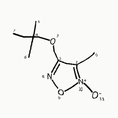 Cc1c(OC(C)(C)C)no[n+]1[O-]